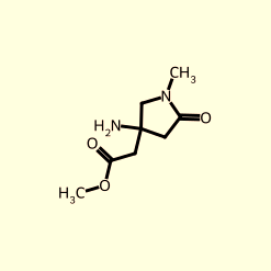 COC(=O)CC1(N)CC(=O)N(C)C1